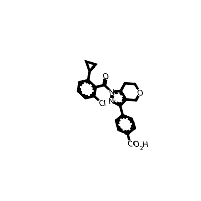 O=C(O)c1ccc(-c2nn(C(=O)c3c(Cl)cccc3C3CC3)c3c2COCC3)cc1